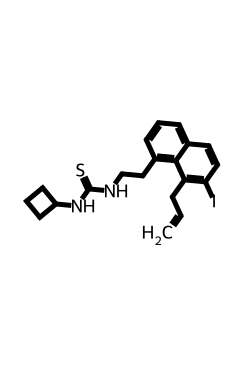 C=CCc1c(I)ccc2cccc(CCNC(=S)NC3CCC3)c12